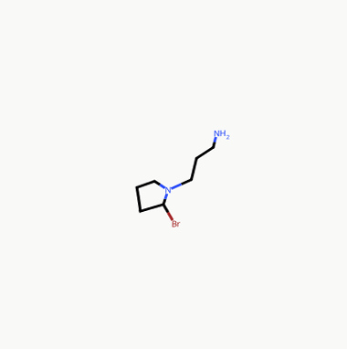 NCCCN1CCCC1Br